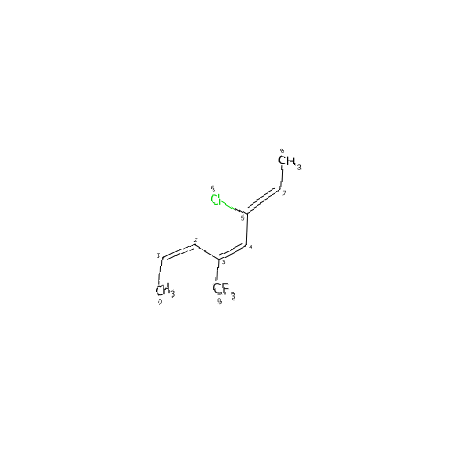 C\C=C/C(=C\C(Cl)=C\C)C(F)(F)F